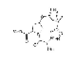 C=C(C)OC1CC(C(=O)NC)N(C(=O)C(n2cc(C3CC3)nn2)C(C)(C)C)C1